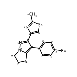 Cc1nc(-c2nn3c(c2-c2ccc(F)cc2)CCC3)cs1